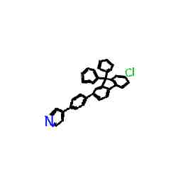 Clc1ccc2c(c1)C(c1ccccc1)(c1ccccc1)c1cc(-c3ccc(-c4ccncc4)cc3)ccc1-2